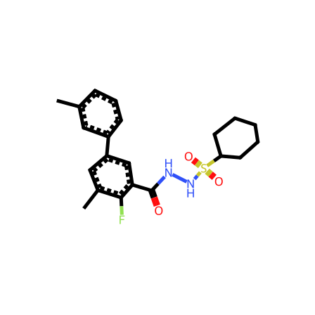 Cc1cccc(-c2cc(C)c(F)c(C(=O)NNS(=O)(=O)C3CCCCC3)c2)c1